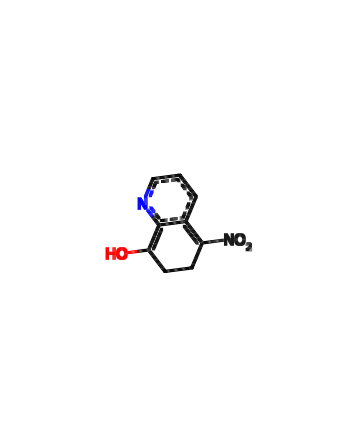 O=[N+]([O-])C1=c2cccnc2=C(O)CC1